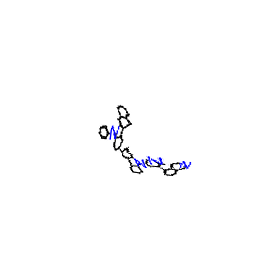 c1ccc(-n2c3ccc(-c4ccc5c(c4)c4ccccc4n5-c4cnc5c(c4)-c4cccc6cncc-5c46)cc3c3cc4ccccc4cc32)cc1